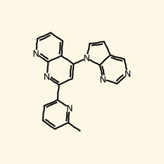 Cc1cccc(-c2cc(-n3ccc4cncnc43)c3cccnc3n2)n1